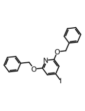 Ic1cc(OCc2ccccc2)nc(OCc2ccccc2)c1